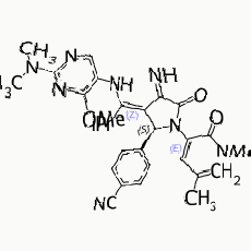 C=C(C)/C=C(\C(=O)NC)N1C(=O)C(=N)/C(=C(\Nc2cnc(N(C)C)nc2OC)C(C)C)[C@@H]1c1ccc(C#N)cc1